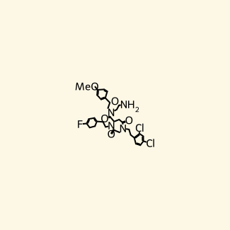 COc1ccc(CCN(CC(N)=O)C(=O)C2CC(=O)N(CCc3ccc(Cl)cc3Cl)CC(=O)N2CCC2=CC=C(F)CC2)cc1